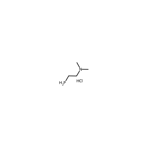 CN(C)CCP.Cl